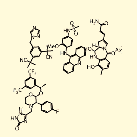 CC(C)(C#N)c1cc(Cn2cncn2)cc(C(C)(C)C#N)c1.COc1cc(NS(C)(=O)=O)ccc1Nc1c2ccccc2nc2ccccc12.C[C@@H](O[C@@H]1OCCN(Cc2nc(=O)[nH][nH]2)[C@@H]1c1ccc(F)cc1)c1cc(C(F)(F)F)cc(C(F)(F)F)c1.Cc1ccc2c(c1O)N[C@@H](O)[C@@H]1CC(/C=C/C(N)=O)=CN1C2=O.[As]